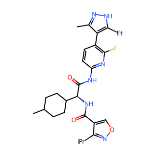 CCc1[nH]nc(C)c1-c1ccc(NC(=O)[C@@H](NC(=O)c2conc2C(C)C)C2CCC(C)CC2)nc1F